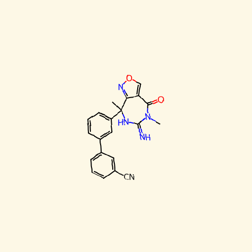 CN1C(=N)NC(C)(c2cccc(-c3cccc(C#N)c3)c2)c2nocc2C1=O